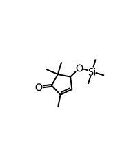 CC1=CC(O[Si](C)(C)C)C(C)(C)C1=O